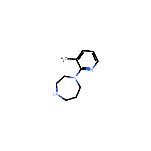 FC(F)(F)c1cccnc1N1CCCNCC1